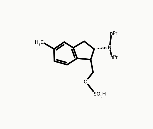 CCCN(CCC)[C@H]1Cc2cc(C)ccc2C1COS(=O)(=O)O